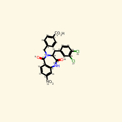 O=C(O)c1ccc(CN2C(=O)c3ccc([N+](=O)[O-])cc3NC(=O)C2Cc2ccc(Cl)c(Cl)c2)cc1